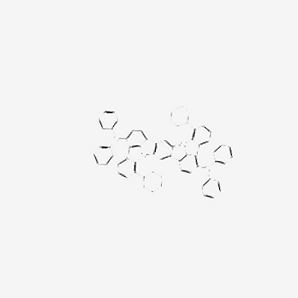 c1ccc(N(c2ccccc2)c2ccc3c4cc5c(cc4n4c6c(C7CCCCC7)cccc6c2c34)c2ccc(N(c3ccccc3)c3ccccc3)c3c4cccc(C6CCCCC6)c4n5c23)cc1